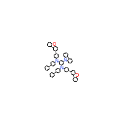 c1ccc(-c2ccc(N(c3ccc(-c4ccc5oc6ccccc6c5c4)cc3)c3cc(N(c4ccc(-c5ccccc5)cc4)c4ccc(-c5ccc6oc7ccccc7c6c5)cc4)cc(-n4c5ccccc5c5ccccc54)c3)cc2)cc1